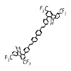 FC(F)(F)c1ccc2[nH]c3c(-c4ccc(C=Cc5ccc(-c6ccc(C=Cc7ccc(-c8cc(C(F)(F)F)cc9c8[nH]c8ccc(C(F)(F)F)cc89)cc7)cc6)cc5)cc4)cc(C(F)(F)F)cc3c2c1